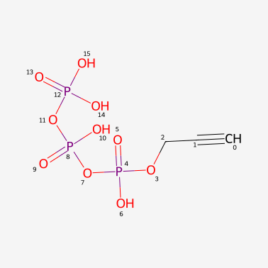 C#CCOP(=O)(O)OP(=O)(O)OP(=O)(O)O